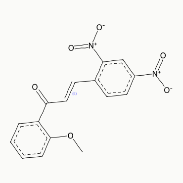 COc1ccccc1C(=O)/C=C/c1ccc([N+](=O)[O-])cc1[N+](=O)[O-]